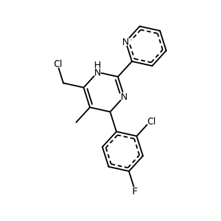 CC1=C(CCl)NC(c2ccccn2)=NC1c1ccc(F)cc1Cl